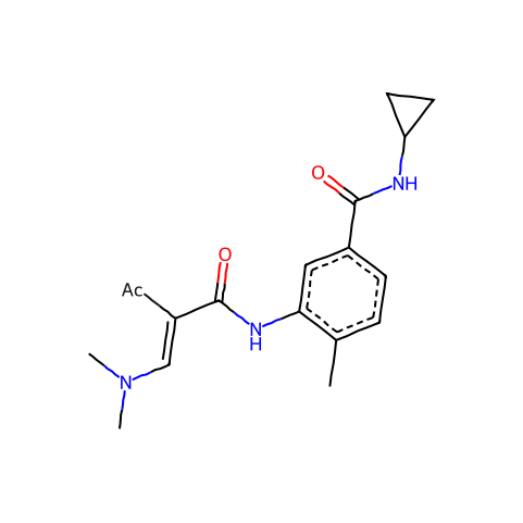 CC(=O)C(=CN(C)C)C(=O)Nc1cc(C(=O)NC2CC2)ccc1C